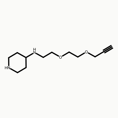 C#CCOCCOCCNC1CCNCC1